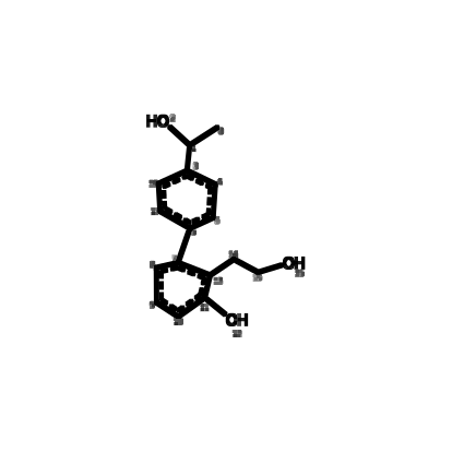 CC(O)c1ccc(-c2cccc(O)c2CCO)cc1